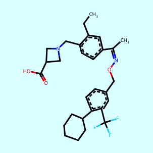 CCc1cc(/C(C)=N\OCc2ccc(C3CCCCC3)c(C(F)(F)F)c2)ccc1CN1CC(C(=O)O)C1